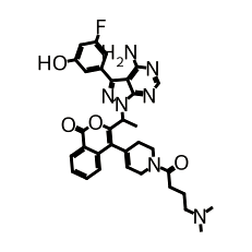 CC(c1oc(=O)c2ccccc2c1C1=CCN(C(=O)CCCN(C)C)CC1)n1nc(-c2cc(O)cc(F)c2)c2c(N)ncnc21